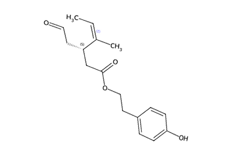 C/C=C(/C)[C@@H](CC=O)CC(=O)OCCc1ccc(O)cc1